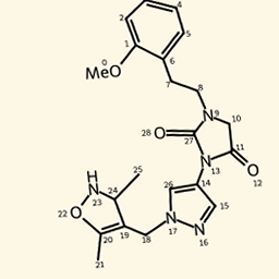 COc1ccccc1CCN1CC(=O)N(c2cnn(CC3=C(C)ONC3C)c2)C1=O